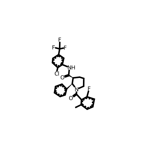 Cc1cccc(F)c1C(=O)N1CCC[C@H](C(=O)Nc2cc(C(F)(F)F)ccc2Cl)[C@@H]1c1ccccc1